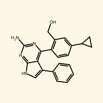 Nc1nc(-c2ccc([C]3CC3)cc2CO)c2c(-c3ccccc3)c[nH]c2n1